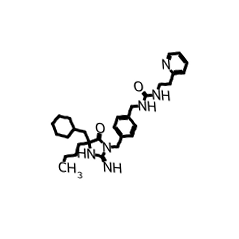 CCCCC1(CC2CCCCC2)NC(=N)N(Cc2ccc(CNC(=O)NCCc3ccccn3)cc2)C1=O